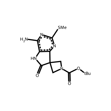 CSc1nc(N)c2c(n1)C1(CN(C(=O)OC(C)(C)C)C1)C(=O)N2